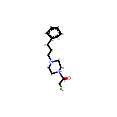 O=C(CCl)N1CCN(CCCc2ccccc2)CC1